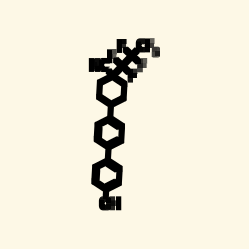 N#CC1(C(F)(F)C(F)(F)C(F)(F)F)CCC(c2ccc(-c3ccc(O)cc3)cc2)CC1